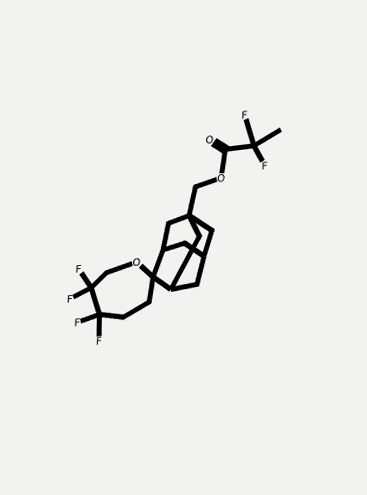 CC(F)(F)C(=O)OCC12CC3CC(C1)C1(CCC(F)(F)C(F)(F)CO1)C(C3)C2